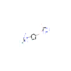 COc1cnc(Cl)nc1OCc1ccc(-c2nc(C(F)(F)F)cn2C)c(F)c1